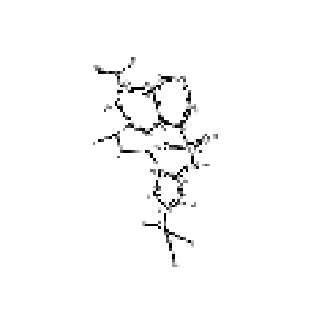 CCCCc1cn(C(C)(C)C)sc1=NS(=O)(=O)c1cccc2c(N(C)C)cccc12